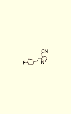 N#CCc1cccnc1CCc1ccc(F)cc1